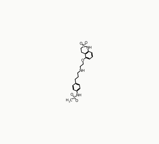 CS(=O)(=O)Nc1ccc(CCCNCCOc2cccc3c2CCS(=O)(=O)N3)cc1